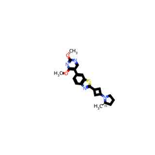 COc1ncc(-c2ccc3nc(C4CC(N5CCC[C@@H]5C)C4)sc3c2)c(OC)n1